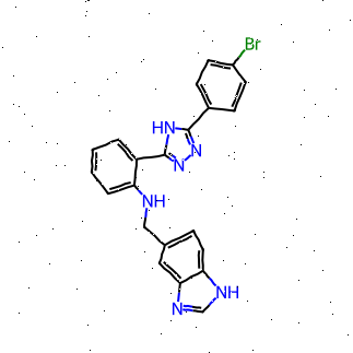 Brc1ccc(-c2nnc(-c3ccccc3NCc3ccc4[nH]cnc4c3)[nH]2)cc1